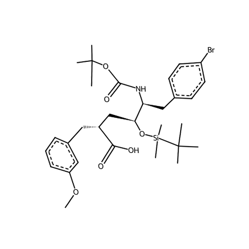 COc1cccc(C[C@H](C[C@H](O[Si](C)(C)C(C)(C)C)[C@H](Cc2ccc(Br)cc2)NC(=O)OC(C)(C)C)C(=O)O)c1